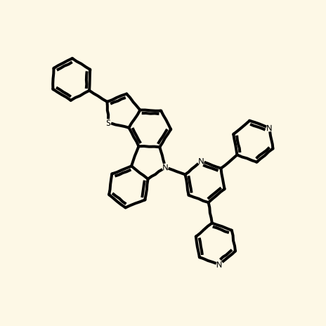 c1ccc(-c2cc3ccc4c(c5ccccc5n4-c4cc(-c5ccncc5)cc(-c5ccncc5)n4)c3s2)cc1